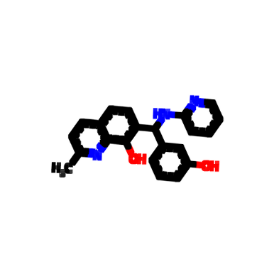 Cc1ccc2ccc(C(Nc3ccccn3)c3cccc(O)c3)c(O)c2n1